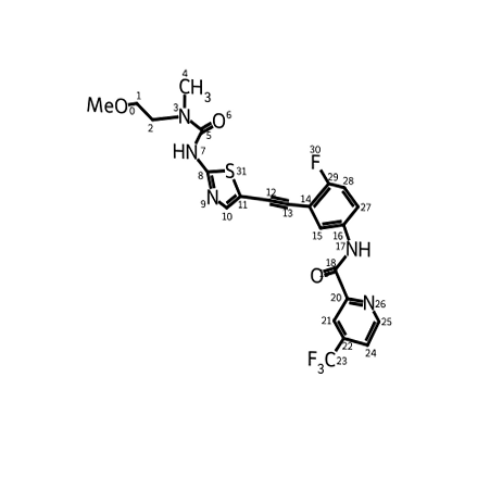 COCCN(C)C(=O)Nc1ncc(C#Cc2cc(NC(=O)c3cc(C(F)(F)F)ccn3)ccc2F)s1